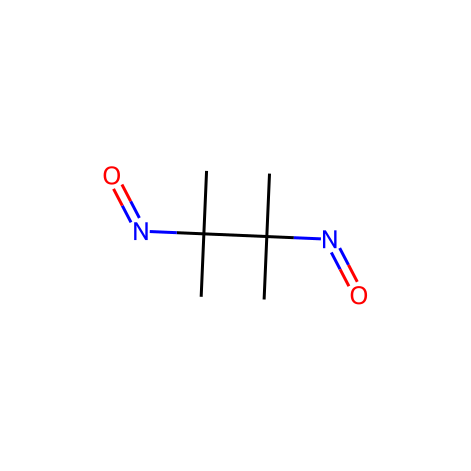 CC(C)(N=O)C(C)(C)N=O